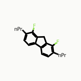 CCCc1ccc2c(c1F)Cc1c-2ccc(CCC)c1F